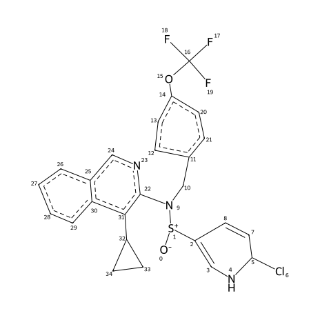 [O-][S+](C1=CNC(Cl)C=C1)N(Cc1ccc(OC(F)(F)F)cc1)c1ncc2ccccc2c1C1CC1